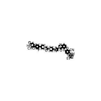 CCN(C)S(=O)(=O)Nc1ccc(F)c(Oc2ccc3ncn(-c4cnn(C5CCN(C(=O)CN6CCC(c7ccc(C8(C=O)CCC(=O)NC8)cc7F)CC6)CC5)c4)c(=O)c3c2)c1C#N